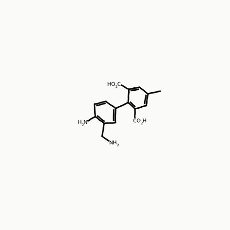 Cc1cc(C(=O)O)c(-c2ccc(N)c(CN)c2)c(C(=O)O)c1